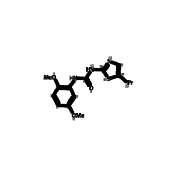 COc1ccc(OC)c(NC(=O)Nc2ncc(C(C)C)s2)c1